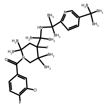 BC(B)(B)c1ccc(C(B)(B)NC(B)(B)C2(F)CC(B)(B)N(C(=O)c3ccc(F)c(Cl)c3)CC2(B)B)nc1